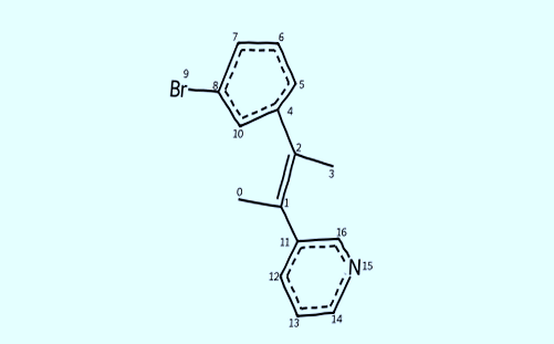 C/C(=C(/C)c1cccc(Br)c1)c1cccnc1